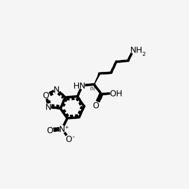 NCCCC[C@H](Nc1ccc([N+](=O)[O-])c2nonc12)C(=O)O